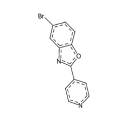 Brc1ccc2oc(-c3ccncc3)nc2c1